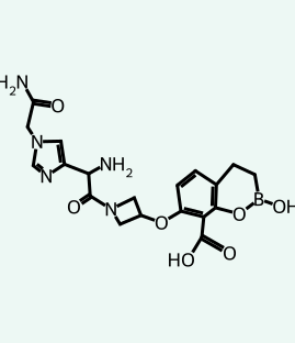 NC(=O)Cn1cnc(C(N)C(=O)N2CC(Oc3ccc4c(c3C(=O)O)OB(O)CC4)C2)c1